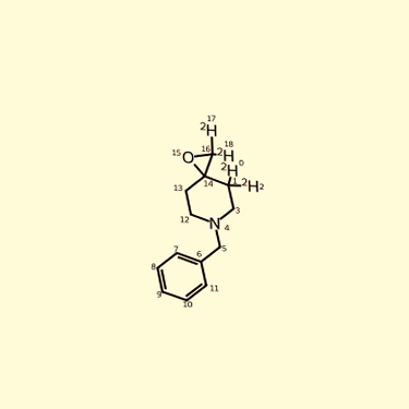 [2H]C1([2H])CN(Cc2ccccc2)CCC12OC2([2H])[2H]